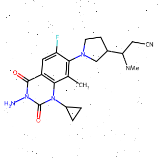 CNC(CC#N)C1CCN(c2c(F)cc3c(=O)n(N)c(=O)n(C4CC4)c3c2C)C1